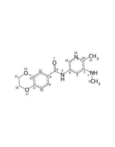 CNc1cc(NC(=O)c2ccc3c(c2)OCCO3)cnc1C